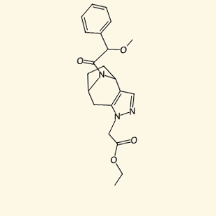 CCOC(=O)Cn1ncc2c1CC1CCC2N1C(=O)C(OC)c1ccccc1